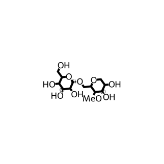 COC1C(CO[C@H]2OC(CO)C(O)[C@H](O)C2O)OCC(O)[C@H]1O